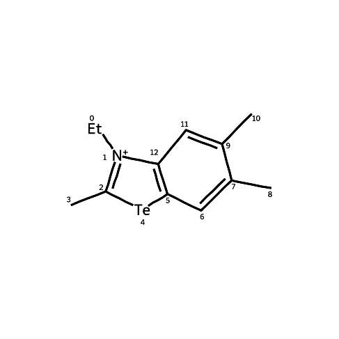 CC[n+]1c(C)[te]c2cc(C)c(C)cc21